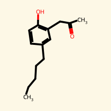 CCCCCc1ccc(O)c(CC(C)=O)c1